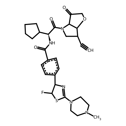 C#CC1CN(C(=O)[C@@H](NC(=O)c2ccc(C3N=C(N4CCN(C)CC4)SC3F)cc2)C2CCCC2)C2C(=O)COC12